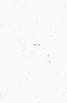 CCCC(CCNS(C)(=O)=O)CNS(=O)(=O)OC